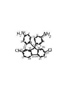 Nc1ccc(C2(c3ccc(N)cc3)c3cc(Cl)ccc3-c3ccc(Cl)cc32)cc1